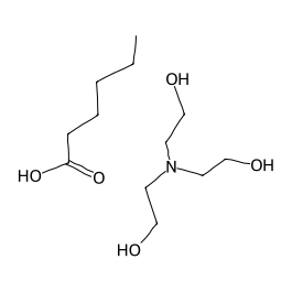 CCCCCC(=O)O.OCCN(CCO)CCO